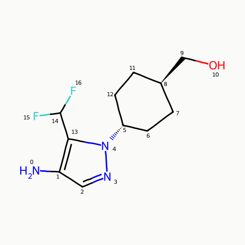 Nc1cnn([C@H]2CC[C@H](CO)CC2)c1C(F)F